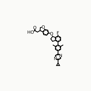 Cc1cc(-c2cnc(C3CC3)cn2)cc(C)c1-c1ccc(F)c2c1CC[C@H]2Oc1ccc2c(c1)OCC2CC(=O)O